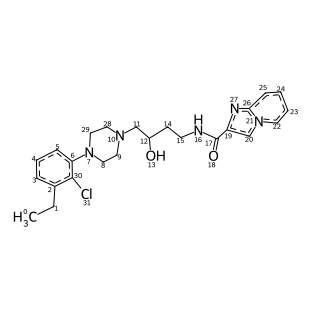 CCc1cccc(N2CCN(CC(O)CCNC(=O)c3cn4ccccc4n3)CC2)c1Cl